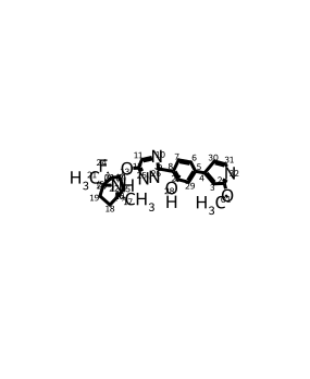 COc1cc(-c2ccc(-c3ncc(O[C@@H]4C[C@@]5(C)CC[C@](C)(N5)[C@@H]4F)nn3)c(O)c2)ccn1